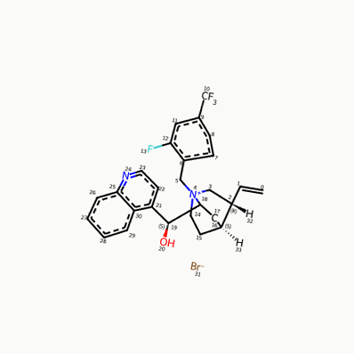 C=C[C@H]1C[N+]2(Cc3ccc(C(F)(F)F)cc3F)CC[C@H]1CC2[C@@H](O)c1ccnc2ccccc12.[Br-]